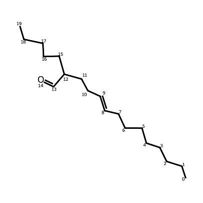 CCCCCCCC/C=C/CCC(C=O)CCCCC